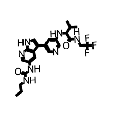 CCCNC(=O)Nc1cnc2[nH]cc(-c3cncc(NC(C(=O)NCC(F)(F)F)C(C)C)c3)c2c1